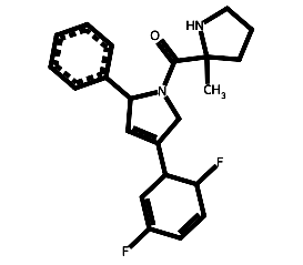 CC1(C(=O)N2CC(C3C=C(F)C=CC3F)=CC2c2ccccc2)CCCN1